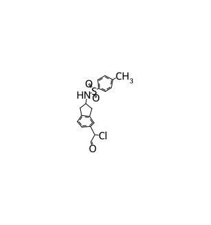 Cc1ccc(S(=O)(=O)NC2Cc3ccc(C(Cl)C=O)cc3C2)cc1